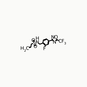 C=CCS(=O)(=O)NCc1ccc(-c2noc(C(F)(F)F)n2)cc1F